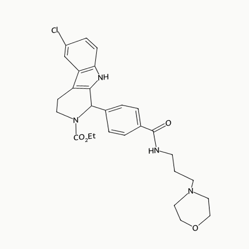 CCOC(=O)N1CCc2c([nH]c3ccc(Cl)cc23)C1c1ccc(C(=O)NCCCN2CCOCC2)cc1